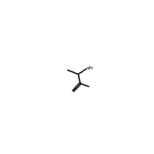 [CH2]CCC(C)C(=C)C